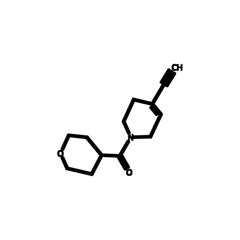 C#CC1=CCN(C(=O)C2CCOCC2)CC1